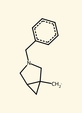 [CH2]C12CC1CN(Cc1ccccc1)C2